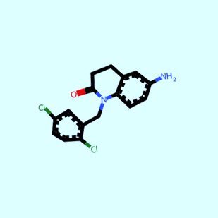 Nc1ccc2c(c1)CCC(=O)N2Cc1cc(Cl)ccc1Cl